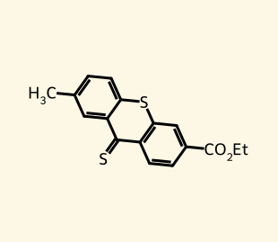 CCOC(=O)c1ccc2c(=S)c3cc(C)ccc3sc2c1